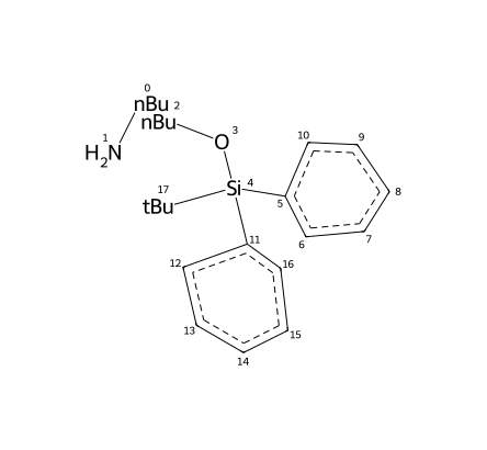 CCCCN.CCCCO[Si](c1ccccc1)(c1ccccc1)C(C)(C)C